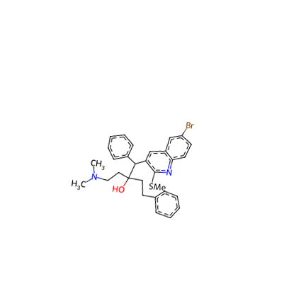 CSc1nc2ccc(Br)cc2cc1C(c1ccccc1)C(O)(CCc1ccccc1)CCN(C)C